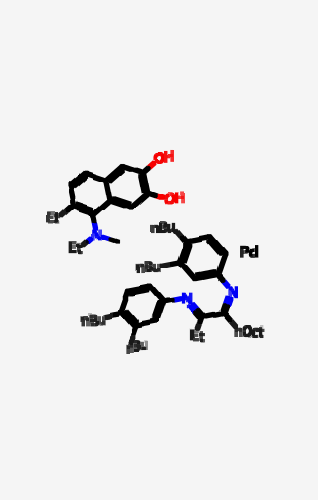 CCCCCCCCC(=Nc1ccc(CCCC)c(CCCC)c1)C(CC)=Nc1ccc(CCCC)c(CCCC)c1.CCc1ccc2cc(O)c(O)cc2c1N(C)CC.[Pd]